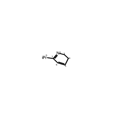 CC(C)C1=NCCC=C1